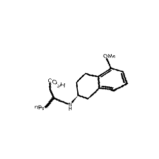 CCCC(N[C@H]1CCc2c(cccc2OC)C1)C(=O)O